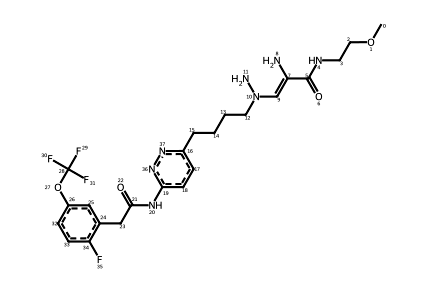 COCCNC(=O)/C(N)=C/N(N)CCCCc1ccc(NC(=O)Cc2cc(OC(F)(F)F)ccc2F)nn1